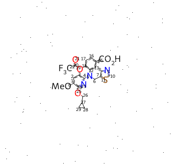 COc1ccc(N(Cc2cncs2)c2cc(C(=O)O)ccc2OC(=O)C(F)(F)F)nc1OCC1CC1